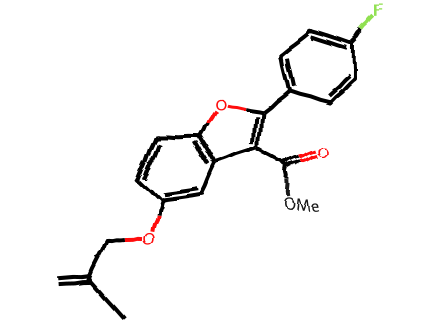 C=C(C)COc1ccc2oc(-c3ccc(F)cc3)c(C(=O)OC)c2c1